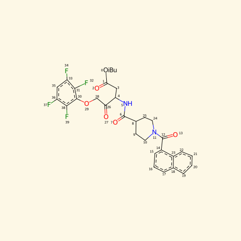 CC(C)COC(=O)CC(NC(=O)C1CCN(C(=O)c2cccc3ccccc23)CC1)C(=O)COc1c(F)c(F)cc(F)c1F